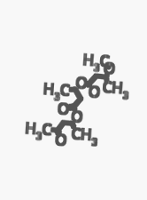 COC(C)CC(=O)OC(C)CC(=O)OC(C)CC(C)=O